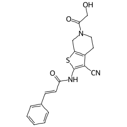 N#Cc1c(NC(=O)/C=C/c2ccccc2)sc2c1CCN(C(=O)CO)C2